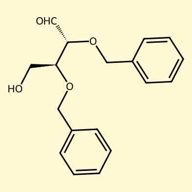 O=C[C@H](OCc1ccccc1)[C@H](CO)OCc1ccccc1